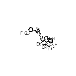 CCN1C(COCCn2cc(-c3cccc(OC(F)(F)F)c3)nn2)=C(C(=O)O)C(c2ccccc2Cl)C(C)(C(=O)O)C1C